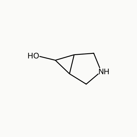 OC1C2CNCC12